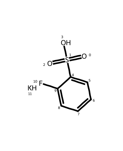 O=S(=O)(O)c1ccccc1F.[KH]